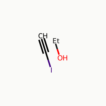 C#CI.CCO